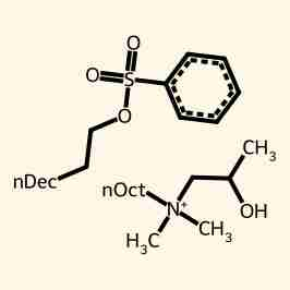 CCCCCCCCCCCCOS(=O)(=O)c1ccccc1.CCCCCCCC[N+](C)(C)CC(C)O